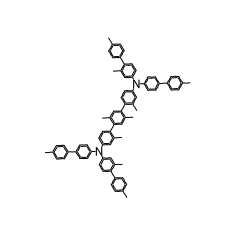 Cc1ccc(-c2ccc(N(c3ccc(-c4ccc(C)cc4)c(C)c3)c3ccc(-c4cc(C)c(-c5ccc(N(c6ccc(-c7ccc(C)cc7)cc6)c6ccc(-c7ccc(C)cc7)c(C)c6)cc5C)cc4C)c(C)c3)cc2)cc1